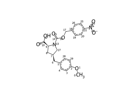 COc1ccc(C[C@H]2C[C@@H](C(=O)O)N(C(=O)OCc3ccc([N+](=O)[O-])cc3)C2)cc1